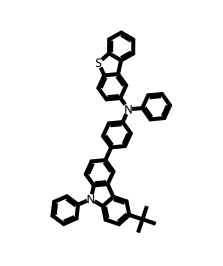 CC(C)(C)c1ccc2c(c1)c1cc(-c3ccc(N(c4ccccc4)c4ccc5sc6ccccc6c5c4)cc3)ccc1n2-c1ccccc1